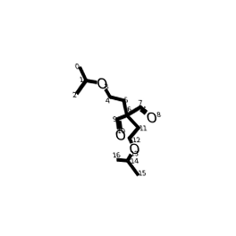 CC(C)OCCC([C]=O)(C=O)CCOC(C)C